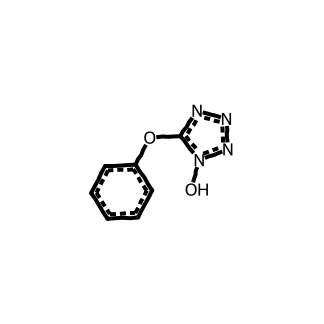 On1nnnc1Oc1ccccc1